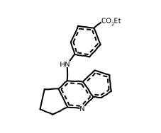 CCOC(=O)c1ccc(Nc2c3c(nc4ccccc24)CCC3)cc1